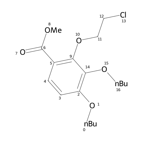 CCCCOc1ccc(C(=O)OC)c(OCCCl)c1OCCCC